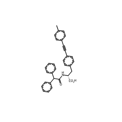 Cc1ccc(C#Cc2ccc(C[C@@H](NC(=O)C(c3ccccc3)c3ccccc3)C(=O)O)cc2)cc1